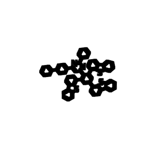 c1ccc(-c2ccc(-c3cc(-c4c(-c5cccc6c5sc5ccccc56)cc(-c5cccc6c5sc5ccccc56)cc4-c4cccc5c4sc4ccccc45)nc(-c4ccccc4)n3)cc2)cc1